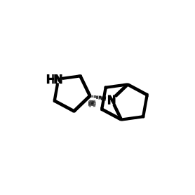 C1C[C@@H](N2C3CCC2CC3)CN1